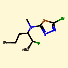 CCCC[C@H](F)[C@@H](CCC(C)C)N(C)c1nnc(Br)s1